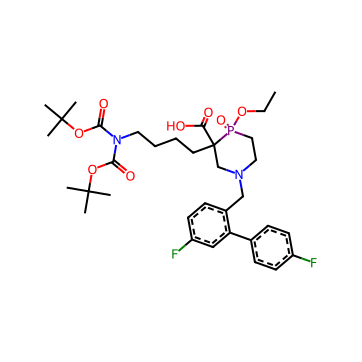 CCOP1(=O)CCN(Cc2ccc(F)cc2-c2ccc(F)cc2)CC1(CCCCN(C(=O)OC(C)(C)C)C(=O)OC(C)(C)C)C(=O)O